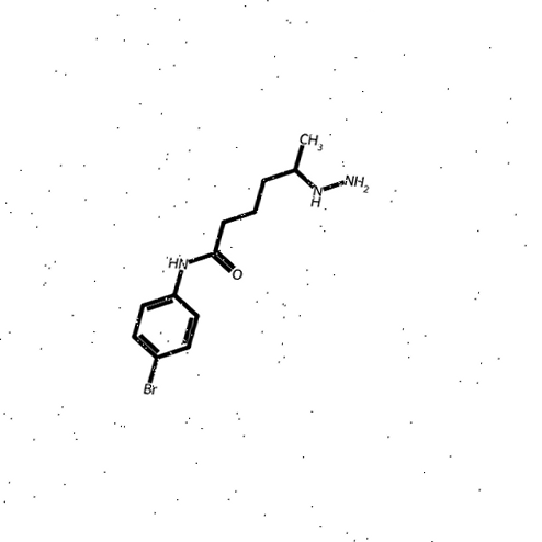 CC(CCCC(=O)Nc1ccc(Br)cc1)NN